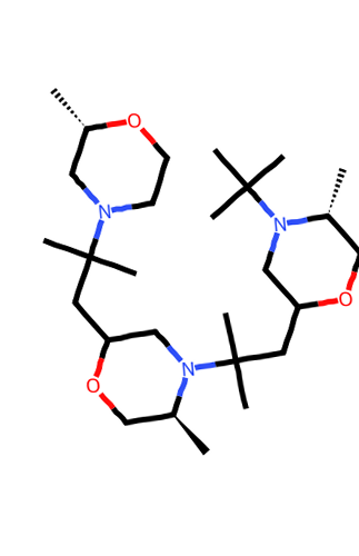 C[C@@H]1COC(CC(C)(C)N2CC(CC(C)(C)N3CCO[C@@H](C)C3)OC[C@@H]2C)CN1C(C)(C)C